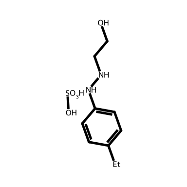 CCc1ccc(NNCCO)cc1.O=S(=O)(O)O